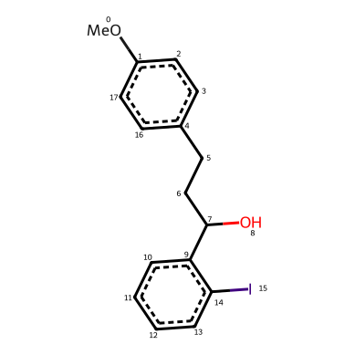 COc1ccc(CCC(O)c2ccccc2I)cc1